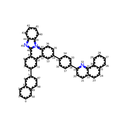 c1ccc2cc(-c3ccc4c(c3)c3cc(-c5ccc(-c6ccc7ccc8ccccc8c7n6)cc5)ccc3n3c5ccccc5nc43)ccc2c1